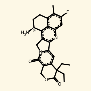 CCC1(CC)C(=O)OCc2c1cc1n(c2=O)Cc2c-1nc1cc(F)c(C)c3c1c2[C@@H](N)CC3